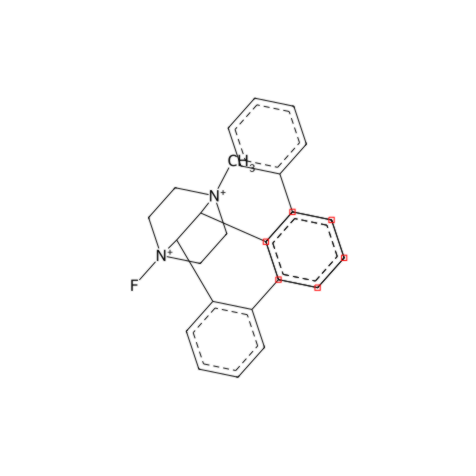 C[N+]12CC[N+](F)(CC1)C(c1ccccc1-c1ccccc1)C2c1ccccc1-c1ccccc1